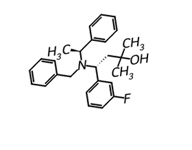 C[C@@H](c1ccccc1)N(Cc1ccccc1)[C@H](CC(C)(C)O)c1cccc(F)c1